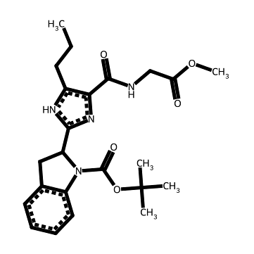 CCCc1[nH]c(C2Cc3ccccc3N2C(=O)OC(C)(C)C)nc1C(=O)NCC(=O)OC